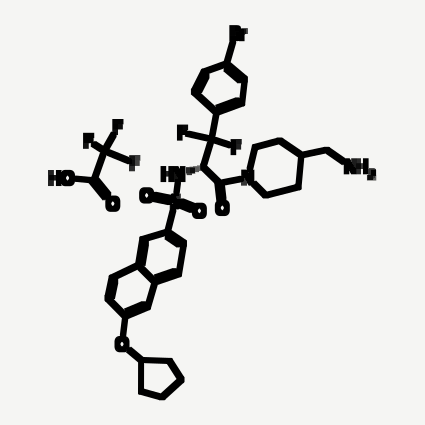 NCC1CCN(C(=O)[C@H](NS(=O)(=O)c2ccc3cc(OC4CCCC4)ccc3c2)C(F)(F)c2ccc(Br)cc2)CC1.O=C(O)C(F)(F)F